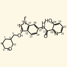 Cn1nc(OCC2CCCOC2)c2ccc(NC(=O)c3ncccc3O)cc21